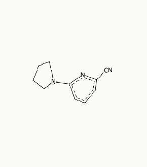 N#Cc1cccc(N2CCCC2)n1